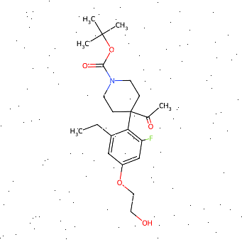 CCc1cc(OCCO)cc(F)c1C1(C(C)=O)CCN(C(=O)OC(C)(C)C)CC1